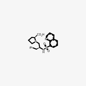 CC(C)C[C@@H](CN1CCC[C@H]1C(=O)O)NS(=O)(=O)c1cccc2cccnc12